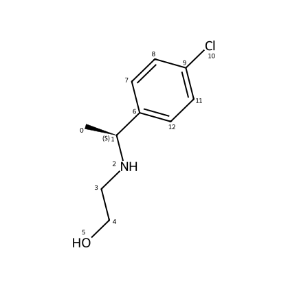 C[C@H](NCCO)c1ccc(Cl)cc1